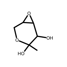 CC1(O)OCC2OC2C1O